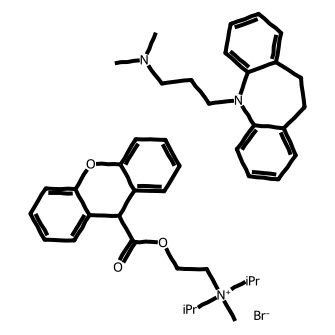 CC(C)[N+](C)(CCOC(=O)C1c2ccccc2Oc2ccccc21)C(C)C.CN(C)CCCN1c2ccccc2CCc2ccccc21.[Br-]